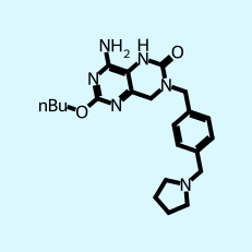 CCCCOc1nc(N)c2c(n1)CN(Cc1ccc(CN3CCCC3)cc1)C(=O)N2